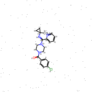 O=C(c1ccc(Cl)cc1)N1CCN(C(=NC2(C(=O)O)CC2)c2ccccn2)CC1